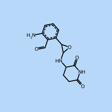 Nc1cccc(C2OC2NC2CCC(=O)NC2=O)c1C=O